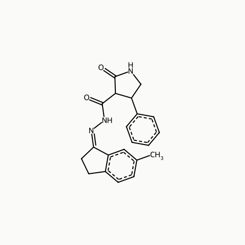 Cc1ccc2c(c1)/C(=N\NC(=O)C1C(=O)NCC1c1ccccc1)CC2